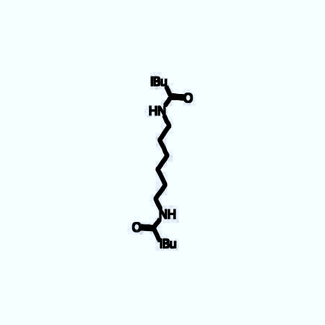 CCC(C)C(=O)NCCCCCCNC(=O)C(C)CC